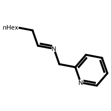 CCCCCCC/C=N/Cc1ccccn1